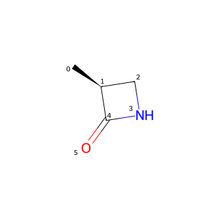 C[C@H]1CNC1=O